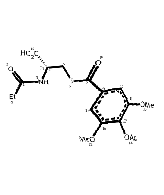 CCC(=O)N[C@@H](CSC(=O)c1cc(OC)c(OC(C)=O)c(OC)c1)C(=O)O